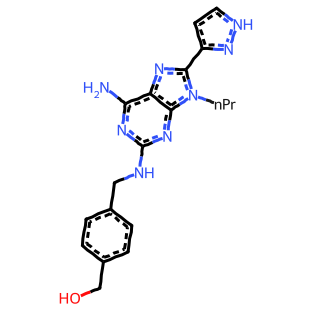 CCCn1c(-c2cc[nH]n2)nc2c(N)nc(NCc3ccc(CO)cc3)nc21